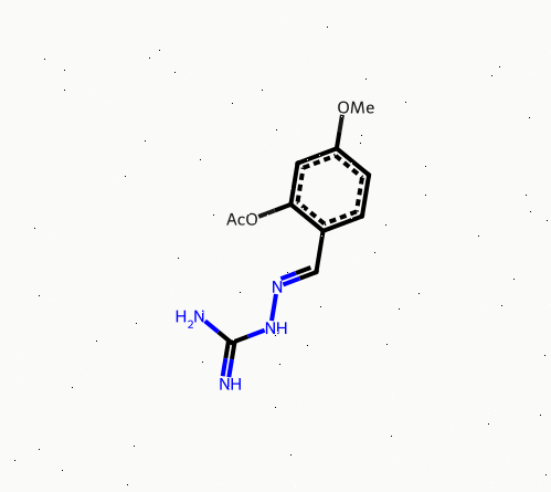 COc1ccc(C=NNC(=N)N)c(OC(C)=O)c1